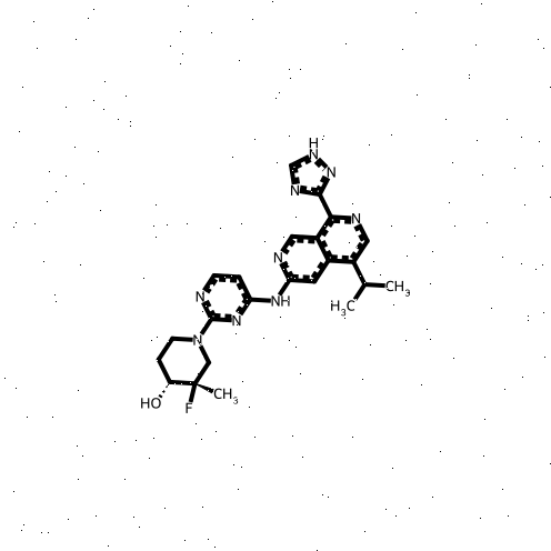 CC(C)c1cnc(-c2nc[nH]n2)c2cnc(Nc3ccnc(N4CC[C@@H](O)[C@@](C)(F)C4)n3)cc12